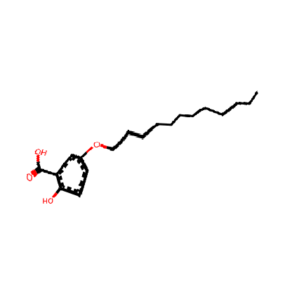 CCCCCCCCCCCCOc1ccc(O)c(C(=O)O)c1